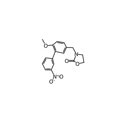 COc1ccc(CN2CCOC2=O)cc1-c1cccc([N+](=O)[O-])c1